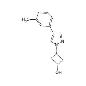 Cc1ccnc(-c2cnn(C3CC(O)C3)c2)c1